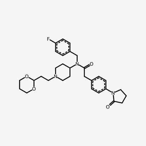 O=C1CCCN1c1ccc(CC(=O)N(Cc2ccc(F)cc2)C2CCN(CCC3OCCCO3)CC2)cc1